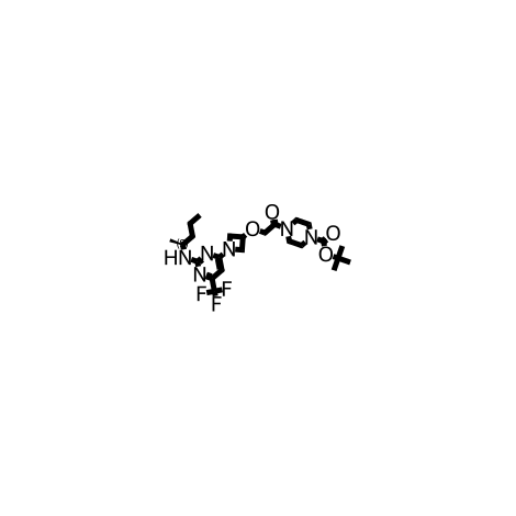 CCC[C@H](C)Nc1nc(N2CC(OCC(=O)N3CCN(C(=O)OC(C)(C)C)CC3)C2)cc(C(F)(F)F)n1